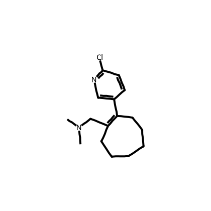 CN(C)CC1=C(c2ccc(Cl)nc2)CCCCCC1